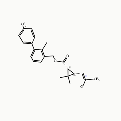 Cc1c(COC(=O)[C@@H]2[C@H](/C=C(\Cl)C(F)(F)F)C2(C)C)cccc1-c1ccc(C(F)(F)F)cc1